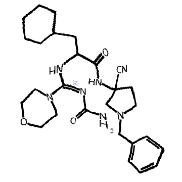 N#CC1(NC(=O)C(CC2CCCCC2)N/C(=N/C(N)=O)N2CCOCC2)CCN(Cc2ccccc2)C1